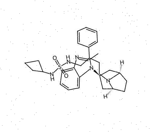 Cc1nc2ccccc2n1[C@H]1C[C@H]2CC[C@@H](C1)N2CCC(CNS(=O)(=O)NC1CCC1)c1ccccc1